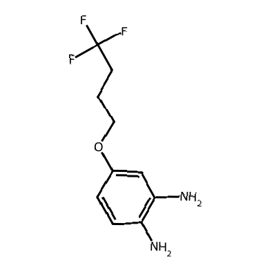 Nc1ccc(OCCCC(F)(F)F)cc1N